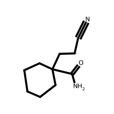 N#C[CH]CC1(C(N)=O)CCCCC1